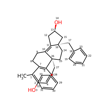 Cc1c(O)ccc2c1CCC1=C3C[C@@H](O)C[C@@]3(Cc3ccccc3)CC[C@]12Cc1ccccc1